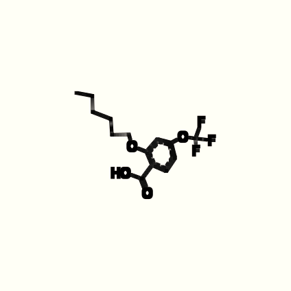 CCCCCCOc1cc(OC(F)(F)F)ccc1C(=O)O